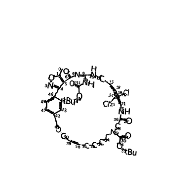 Cc1onc2c1C(=O)/N=C(\NC(=O)OC(C)(C)C)NCc1cc(Cl)c(c(Cl)c1)NC(=O)CN(C(=O)OC(C)(C)C)CCCC/C=C\COc1ccc-2cc1